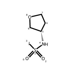 O=S(=O)(I)N[C@H]1CCOC1